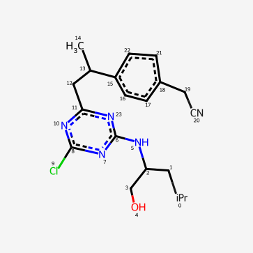 CC(C)CC(CO)Nc1nc(Cl)nc(CC(C)c2ccc(CC#N)cc2)n1